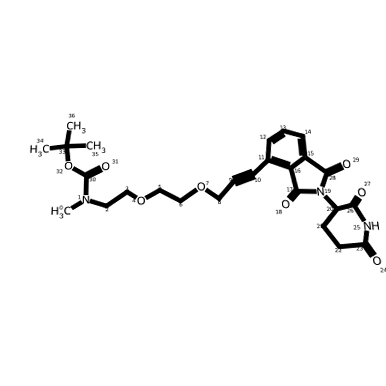 CN(CCOCCOCC#Cc1cccc2c1C(=O)N(C1CCC(=O)NC1=O)C2=O)C(=O)OC(C)(C)C